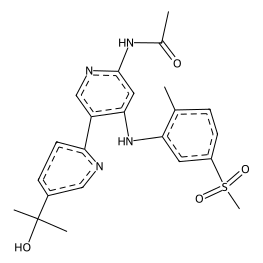 CC(=O)Nc1cc(Nc2cc(S(C)(=O)=O)ccc2C)c(-c2ccc(C(C)(C)O)cn2)cn1